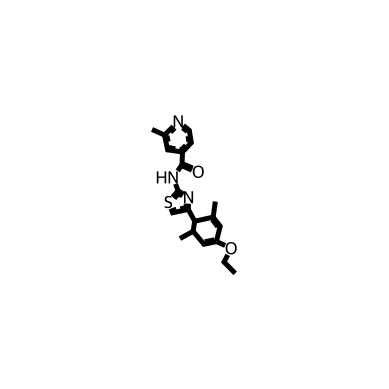 CCOC1=CC(C)C(c2csc(NC(=O)c3ccnc(C)c3)n2)C(C)=C1